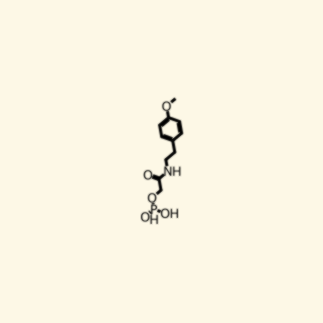 COc1ccc(CCNC(=O)CO[PH](=O)O)cc1